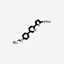 CCCCCCc1ccc(-c2ccc(-c3ccc(OC[C@@H](C)CC)cc3)cn2)s1